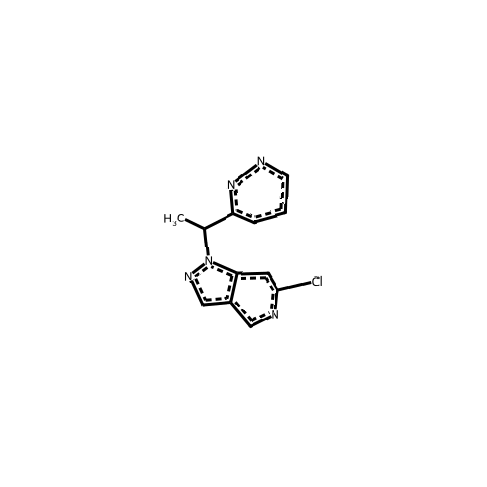 CC(c1cccnn1)n1ncc2cnc(Cl)cc21